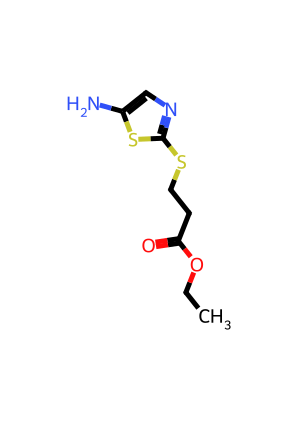 CCOC(=O)CCSc1ncc(N)s1